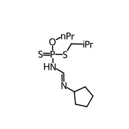 CCCOP(=S)(NC=NC1CCCC1)SCC(C)C